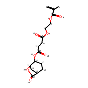 C=C(C)C(=O)OCCOC(=O)CCC(=O)OC1CCC2CC1OC2=O